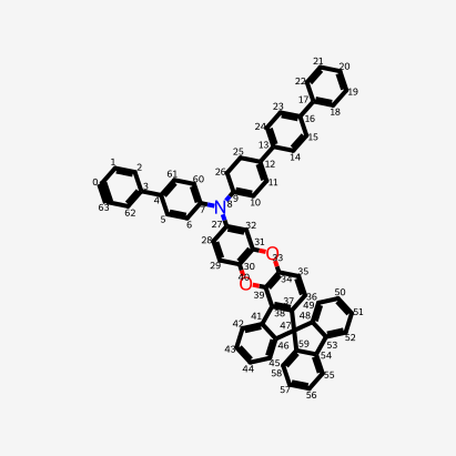 c1ccc(-c2ccc(N(C3=CC=C(c4ccc(-c5ccccc5)cc4)CC3)c3ccc4c(c3)Oc3ccc5c(c3O4)-c3ccccc3C53c4ccccc4-c4ccccc43)cc2)cc#1